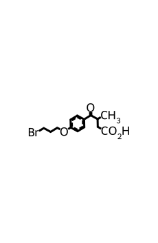 CC(CC(=O)O)C(=O)c1ccc(OCCCBr)cc1